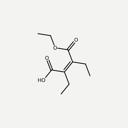 CCOC(=O)C(CC)=C(CC)C(=O)O